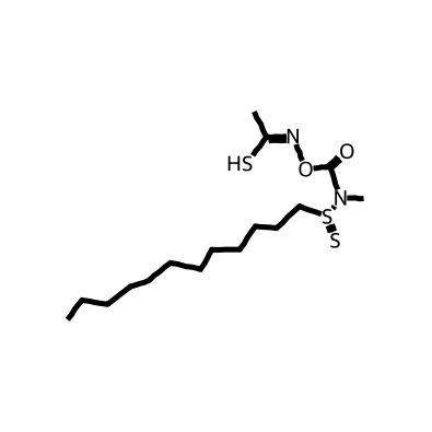 CCCCCCCCCCCCS(=S)N(C)C(=O)ON=C(C)S